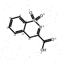 O=C(O)C1=NS(=O)(=O)c2ccccc2C1